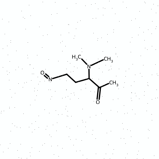 CC(=O)C(CCN=O)N(C)C